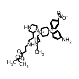 CCNCC[N+]1(N2CCNCC2CCNCCC(=O)OC(C)(C)C)CC[N+](c2ccc(N)cc2)(c2ccc([N+](=O)[O-])cc2)CC1